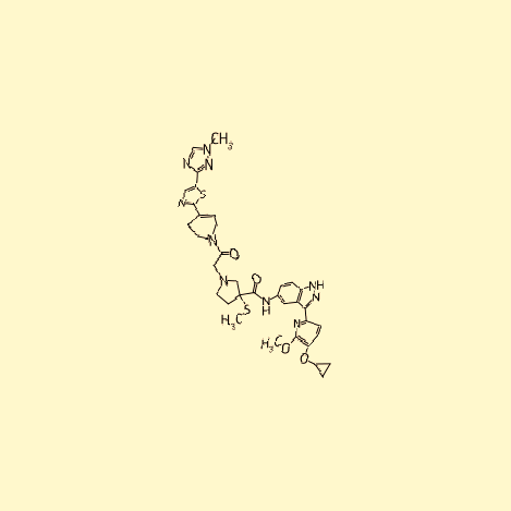 COc1nc(-c2n[nH]c3ccc(NC(=O)C4(SC)CCN(CC(=O)N5CC=C(c6ncc(-c7ncn(C)n7)s6)CC5)C4)cc23)ccc1OC1CC1